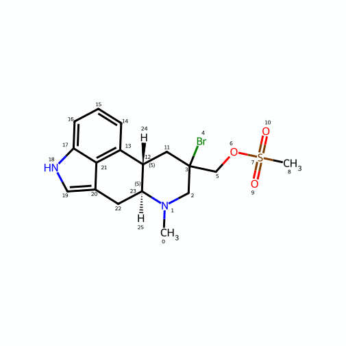 CN1CC(Br)(COS(C)(=O)=O)C[C@H]2c3cccc4[nH]cc(c34)C[C@@H]21